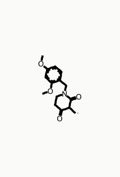 [CH2]C1C(=O)CCN(Cc2ccc(OC)cc2OC)C1=O